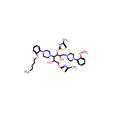 CCCCCOc1ccccc1N1CCN(C(C(O)COc2nc(C)cs2)C(Oc2nc(C)cs2)C(O)CN2CCN(c3ccccc3OC)CC2)CC1